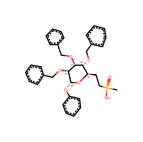 CP(=O)(O)CC[C@H]1O[C@H](Oc2ccccc2)[C@@H](OCc2ccccc2)[C@@H](OCc2ccccc2)[C@@H]1OCc1ccccc1